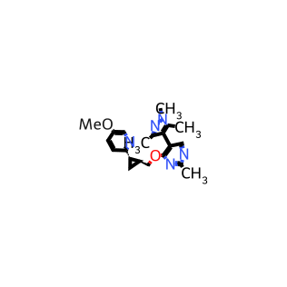 COc1ccc([C@H]2C[C@@H]2COc2nc(C)ncc2-c2c(C)nn(C)c2C)nc1